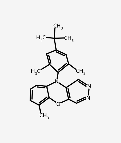 Cc1cccc2c1Oc1cnncc1N2c1c(C)cc(C(C)(C)C)cc1C